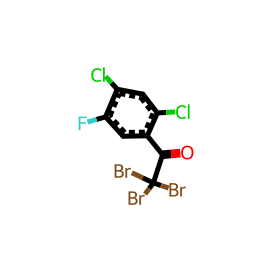 O=C(c1cc(F)c(Cl)cc1Cl)C(Br)(Br)Br